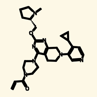 C=CC(=O)N1CCN(c2nc(OC[C@@H]3CCCN3C)nc3c2CCN(c2cnccc2C2CC2)C3)CC1